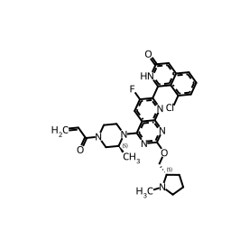 C=CC(=O)N1CCN(c2nc(OC[C@@H]3CCCN3C)nc3nc(-c4[nH]c(=O)cc5cccc(Cl)c45)c(F)cc23)[C@@H](C)C1